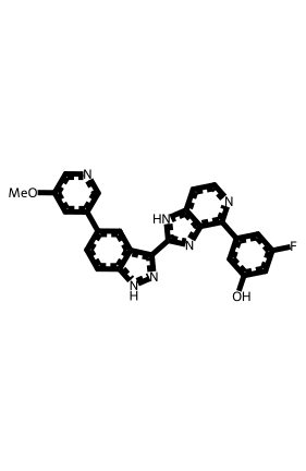 COc1cncc(-c2ccc3[nH]nc(-c4nc5c(-c6cc(O)cc(F)c6)nccc5[nH]4)c3c2)c1